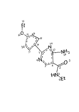 CCNC(=O)c1cnc(-c2ccc(OCC)cc2)nc1N